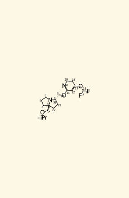 CC(C)OC[C@@]12CCCN1[C@H](COc1cc(OC(F)F)ccn1)CC2